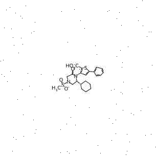 CS(=O)(=O)N1CC(=O)N(c2cc(-c3ccccc3)sc2C(=O)O)C(C2CCCCC2)C1